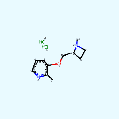 Cc1ncccc1OC[C@@H]1CCN1C.Cl.Cl